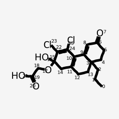 CCCC12CCC(=O)C=C1C1=C(CC2)CC(O)(OCC(=O)O)C(Cl)=C1Cl